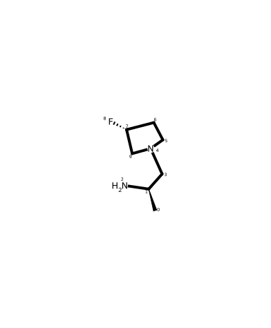 C[C@@H](N)CN1CC[C@@H](F)C1